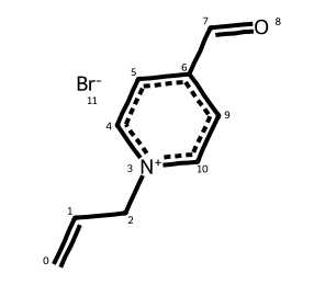 C=CC[n+]1ccc(C=O)cc1.[Br-]